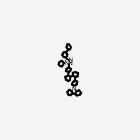 c1ccc(-c2cccc(-c3nnc(-c4ccc(-c5ccccc5-c5ccccc5-c5ccc(-n6c7ccccc7c7ccccc76)cc5)cc4)n3-c3ccccc3)c2)cc1